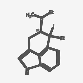 CCN(C)[C@@H]1Cc2c[nH]c3cccc(c23)C1(I)CC